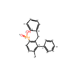 Cc1ccc([PH](=O)O)c(Cc2ccccc2)c1-c1ccccc1